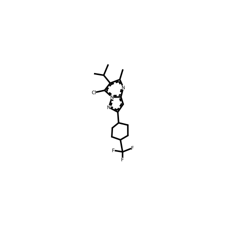 Cc1nc2cc(C3CCC(C(F)(F)F)CC3)nn2c(Cl)c1C(C)C